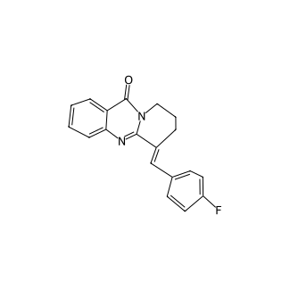 O=c1c2ccccc2nc2n1CCC/C2=C\c1ccc(F)cc1